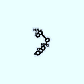 CN1CCN(Cc2ccc(NC(=O)c3cncc(C#Cc4cnc(N)c5ncccc45)c3)cc2Cl)CC1